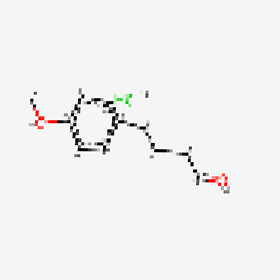 COc1ccc(CCCC=O)cc1.Cl